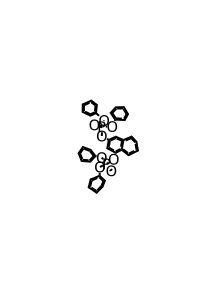 O=P(Oc1ccccc1)(Oc1ccccc1)Oc1cc(OP(=O)(Oc2ccccc2)Oc2ccccc2)c2ccccc2c1